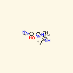 CN(c1ccc(-c2ccc(-n3ccnc3)cc2O)nn1)[C@@H]1C[C@]2(C)C[C@H]1CN2